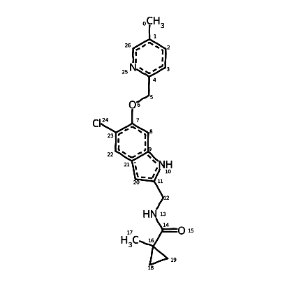 Cc1ccc(COc2cc3[nH]c(CNC(=O)C4(C)CC4)cc3cc2Cl)nc1